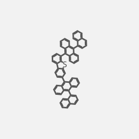 c1ccc2c(-c3c4ccccc4c(-c4ccc5c(c4)sc4c(-c6c7ccccc7c(-c7cccc8ccccc78)c7ccccc67)cccc45)c4ccccc34)cccc2c1